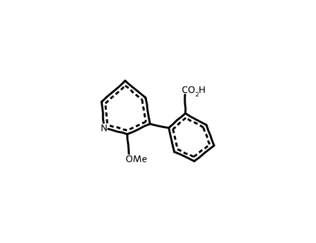 COc1ncccc1-c1ccccc1C(=O)O